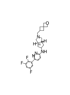 Fc1cc(F)c(F)c(-c2ccc(NC3C[C@@H]4CN(CC5CC6(COC6)C5)C[C@@H]4C3)nn2)c1